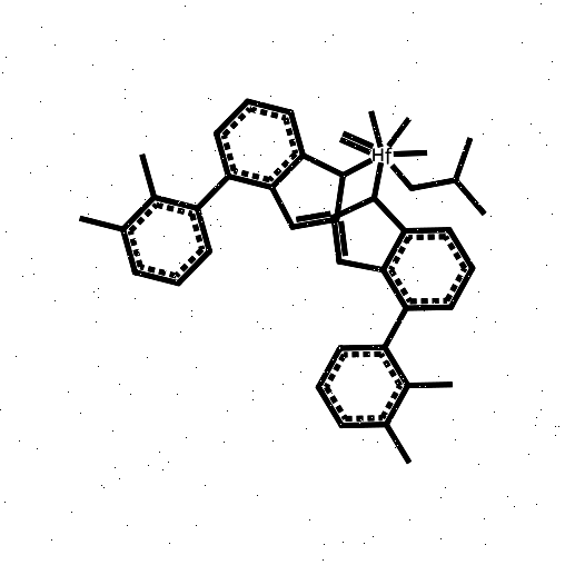 [CH2]=[Hf]([CH3])([CH3])([CH3])([CH2]C(C)C)([CH]1C=Cc2c(-c3cccc(C)c3C)cccc21)[CH]1C=Cc2c(-c3cccc(C)c3C)cccc21